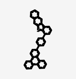 c1ccc2cc3c(cc2c1)sc1c(-c2ccc(-c4ccc5c6ccccc6c6ccccc6c5c4)cc2)cccc13